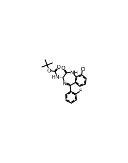 CC(C)(C)OC(=O)N[C@H]1N=C(c2ccccc2F)c2cccc(Cl)c2NC1=O